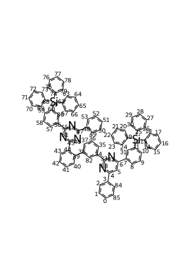 c1ccc(-c2cc(-c3cccc([Si](c4ccccc4)(c4ccccc4)c4ccccc4)c3)nc(-c3cccc(-c4ccccc4-c4nc(-c5ccccc5)nc(-c5cccc([Si](c6ccccc6)(c6ccccc6)c6ccccc6)c5)n4)c3)n2)cc1